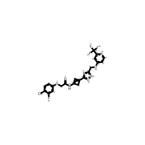 O=C(COc1ccc(Cl)c(F)c1)NC12CC(c3nc(COc4ccnc(C(F)(F)F)c4)no3)(C1)C2